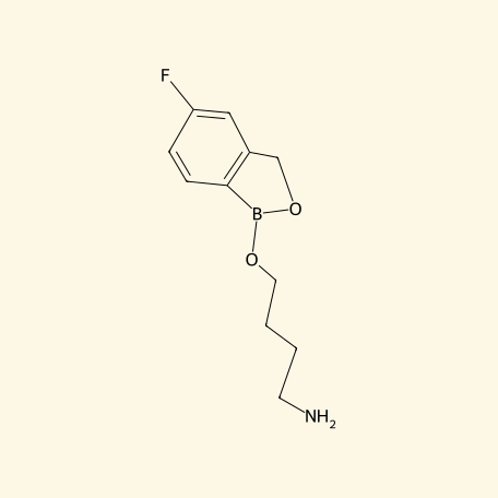 NCCCCOB1OCc2cc(F)ccc21